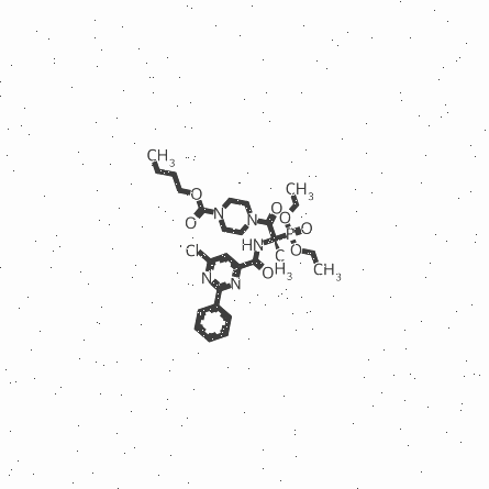 CCCCOC(=O)N1CCN(C(=O)[C@@](C)(NC(=O)c2cc(Cl)nc(-c3ccccc3)n2)P(=O)(OCC)OCC)CC1